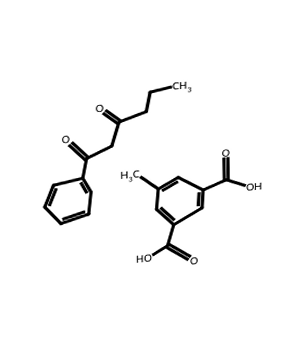 CCCC(=O)CC(=O)c1ccccc1.Cc1cc(C(=O)O)cc(C(=O)O)c1